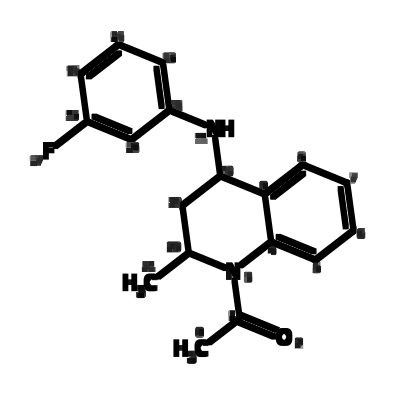 CC(=O)N1c2ccccc2C(Nc2cccc(F)c2)CC1C